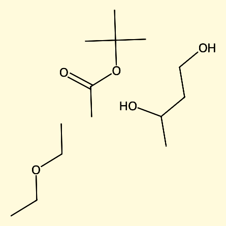 CC(=O)OC(C)(C)C.CC(O)CCO.CCOCC